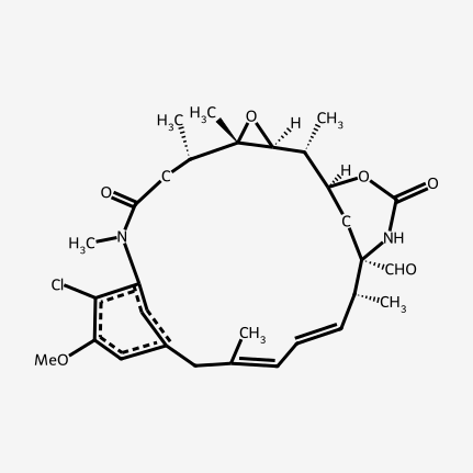 COc1cc2cc(c1Cl)N(C)C(=O)C[C@H](C)[C@]1(C)O[C@H]1[C@H](C)[C@@H]1C[C@@](C=O)(NC(=O)O1)[C@H](C)/C=C/C=C(\C)C2